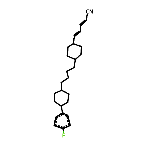 N#CC=CC=CC1CCC(CCCCC2CCC(c3ccc(F)cc3)CC2)CC1